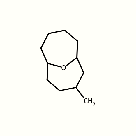 CC1CCC2CCCCC(C1)O2